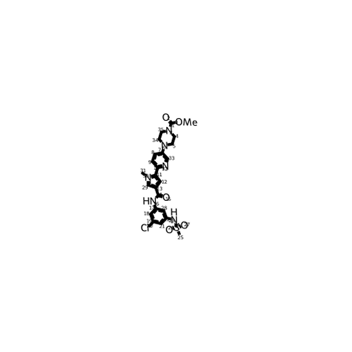 COC(=O)N1CCN(c2ccc(-c3cc(C(=O)Nc4cc(Cl)cc(NS(C)(=O)=O)c4)cn3C)nc2)CC1